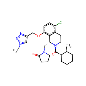 C[C@H]1CCCC[C@H]1C(=O)N1CCc2c(Cl)ccc(OCc3cn(C)nn3)c2[C@H]1CN1CCCC1=O